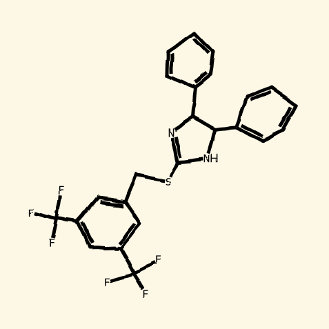 FC(F)(F)c1cc(CSC2=NC(c3ccccc3)C(c3ccccc3)N2)cc(C(F)(F)F)c1